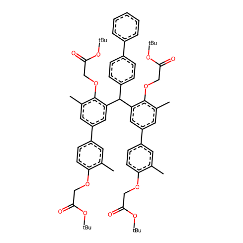 Cc1cc(-c2cc(C)c(OCC(=O)OC(C)(C)C)c(C(c3ccc(-c4ccccc4)cc3)c3cc(-c4ccc(OCC(=O)OC(C)(C)C)c(C)c4)cc(C)c3OCC(=O)OC(C)(C)C)c2)ccc1OCC(=O)OC(C)(C)C